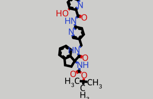 CC(C)(C)OC(=O)NC1(C(=O)NCc2ccc(NC(=O)c3ncccc3O)nc2)CCc2ccccc21